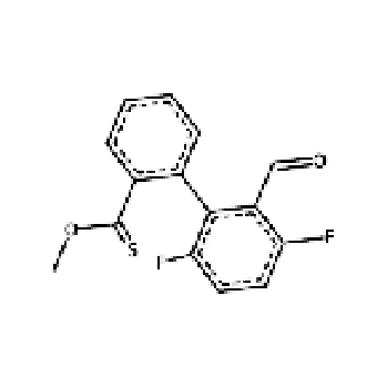 COC(=S)c1ccccc1-c1c(F)ccc(F)c1C=O